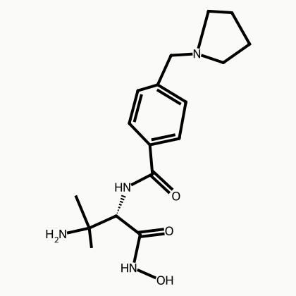 CC(C)(N)[C@H](NC(=O)c1ccc(CN2CCCC2)cc1)C(=O)NO